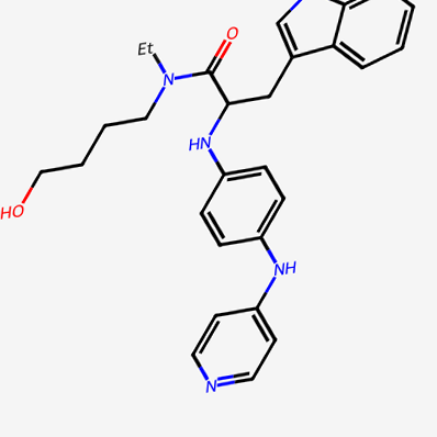 CCN(CCCCO)C(=O)C(Cc1c[nH]c2ccccc12)Nc1ccc(Nc2ccncc2)cc1